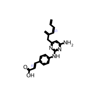 C=C/C=C\C(=C)Cc1cc(N)nc(Nc2ccc(/C=C/C(=O)O)cc2)n1